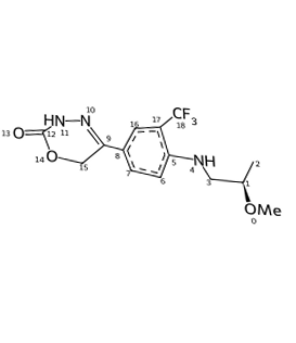 CO[C@H](C)CNc1ccc(C2=NNC(=O)OC2)cc1C(F)(F)F